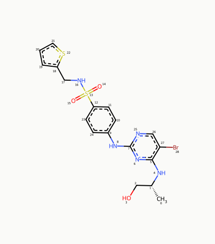 C[C@H](CO)Nc1nc(Nc2ccc(S(=O)(=O)NCc3cccs3)cc2)ncc1Br